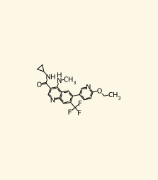 CCOc1ccc(-c2cc3c(NC)c(C(=O)NC4CC4)cnc3cc2C(F)(F)F)cn1